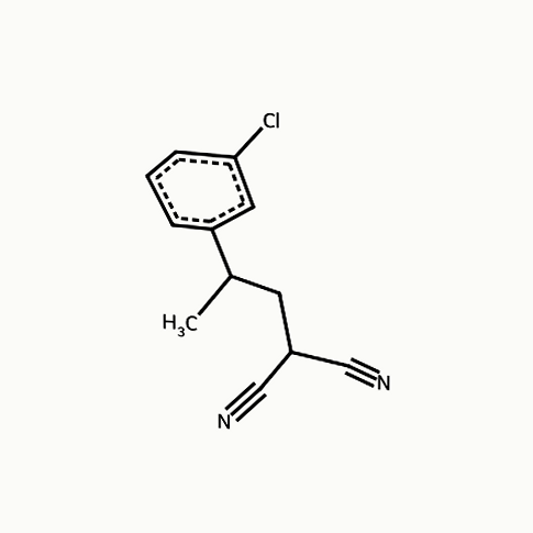 CC(CC(C#N)C#N)c1cccc(Cl)c1